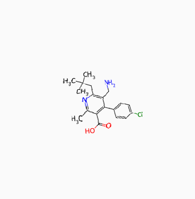 Cc1nc(CC(C)(C)C)c(CN)c(-c2ccc(Cl)cc2)c1C(=O)O